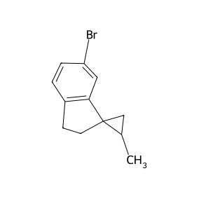 CC1CC12CCc1ccc(Br)cc12